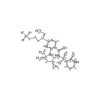 CC[C@H](CCCC(F)(F)F)c1ccc(C(=O)NS(=O)(=O)c2ccc[nH]c2=O)c(N2C[C@@H](C)CC2(C)C)n1